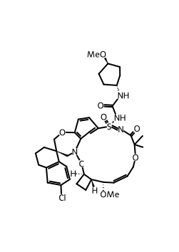 CO[C@H]1C=CCOC(C)(C)C(=O)N=[S@@](=O)(NC(=O)N[C@H]2CC[C@H](OC)CC2)c2ccc3c(c2)N(C[C@@H]2CC[C@H]21)C[C@@]1(CCCc2cc(Cl)ccc21)CO3